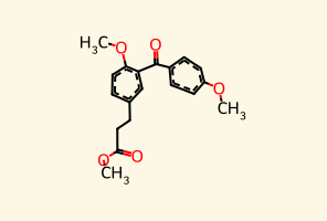 COC(=O)CCc1ccc(OC)c(C(=O)c2ccc(OC)cc2)c1